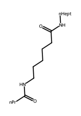 CCCCCCCNC(=O)CCCCCNC(=O)CCC